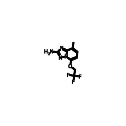 Cc1ccc(OCC(F)(F)F)n2nc(N)nc12